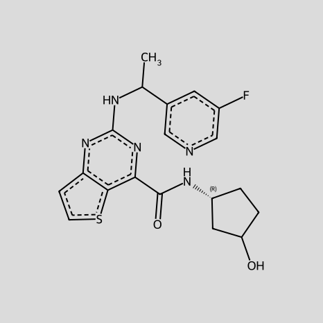 CC(Nc1nc(C(=O)N[C@@H]2CCC(O)C2)c2sccc2n1)c1cncc(F)c1